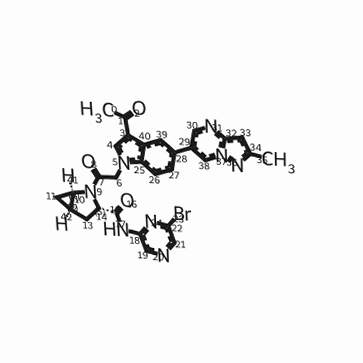 CC(=O)c1cn(CC(=O)N2[C@@H]3C[C@@H]3C[C@H]2C(=O)Nc2cncc(Br)n2)c2ccc(-c3cnc4cc(C)nn4c3)cc12